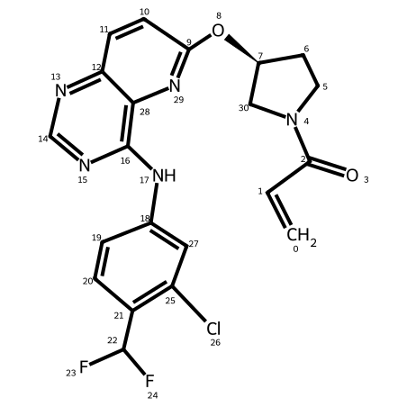 C=CC(=O)N1CC[C@H](Oc2ccc3ncnc(Nc4ccc(C(F)F)c(Cl)c4)c3n2)C1